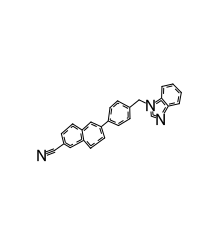 N#Cc1ccc2cc(-c3ccc(Cn4cnc5ccccc54)cc3)ccc2c1